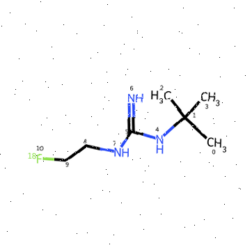 CC(C)(C)NC(=N)NCC[18F]